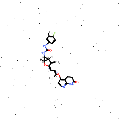 C=C1/C(=C\C=C(/C)Oc2ccnc3c2CCC(=O)N3)O[C@@H]2[C@@H](NC(=O)Nc3ccc(F)c(C)c3)[C@H]12